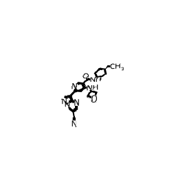 CC[C@H]1CC[C@H](NC(=O)c2cnc(-c3cnn4cc(C#N)cnc34)cc2NC2COC2)CC1